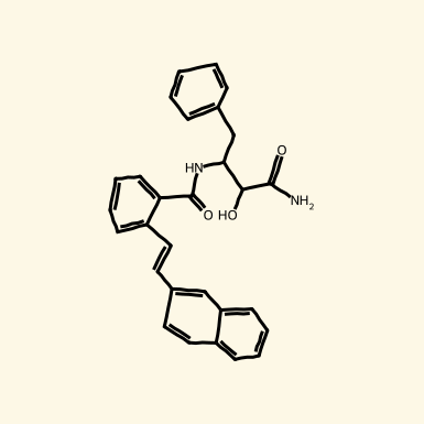 NC(=O)C(O)C(Cc1ccccc1)NC(=O)c1ccccc1C=Cc1ccc2ccccc2c1